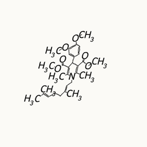 COC(=O)C1=C(C)N(C/C=C(\C)CCC=C(C)C)C(C)=C(C(=O)OC)C1c1ccc(OC)c(OC)c1